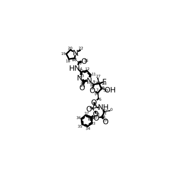 C[C@H](NP(=O)(OC[C@H]1O[C@@H](n2ccc(NC(=O)[C@@H]3CCCN3C)nc2=O)[C@](C)(F)[C@@H]1O)Oc1ccccc1)C(=O)O